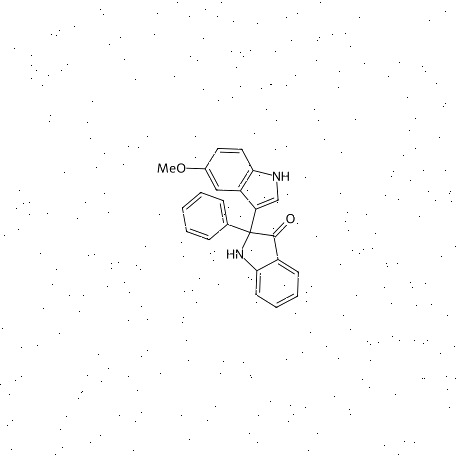 COc1ccc2[nH]cc(C3(c4ccccc4)Nc4ccccc4C3=O)c2c1